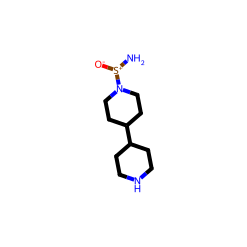 N[S+]([O-])N1CCC(C2CCNCC2)CC1